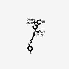 COC(OC=O)(C1CCNCC1)[n+]1ccc(N(CCCCCCOc2ccc(Cl)cc2)C(N)=NC#N)cc1.[Cl-]